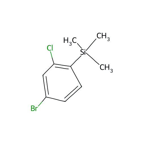 C[Si](C)(C)c1ccc(Br)cc1Cl